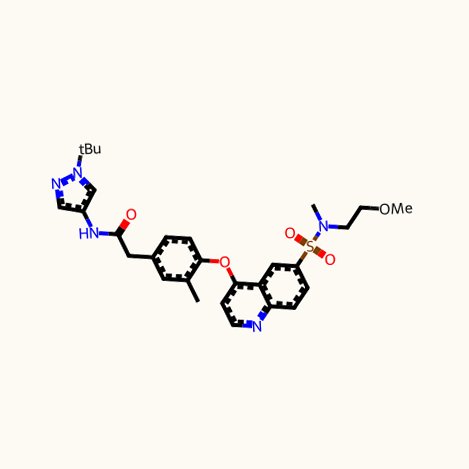 COCCN(C)S(=O)(=O)c1ccc2nccc(Oc3ccc(CC(=O)Nc4cnn(C(C)(C)C)c4)cc3C)c2c1